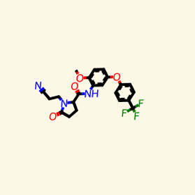 COc1ccc(Oc2ccc(C(F)(F)F)cc2)cc1NC(=O)C1CCC(=O)N1CCC#N